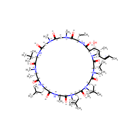 C/C=C/C[C@@H](C)[C@@H](O)[C@H]1C(=O)N[C@@H](CC)C(=O)N(C)CC(=O)N(C)CC(=O)N[C@@H](C(C)(C)C)C(=O)N(C)[C@@H](C)C(=O)N[C@@H](CC(C)C)C(=O)N[C@H](C)C(=O)N(C)[C@@H](CC(C)C)C(=O)N(C)[C@@H](CC(C)C)C(=O)N(C)[C@@H](C(C)C)C(=O)N1C